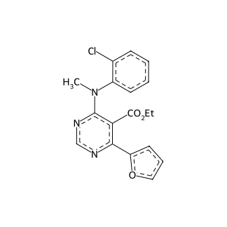 CCOC(=O)c1c(-c2ccco2)ncnc1N(C)c1ccccc1Cl